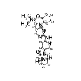 CN(C)C(=O)c1cc2cnc(Nc3ccc(N4C[C@H]5CC[C@@H](CC4=O)N5)cn3)nc2n1C1CCCCC1